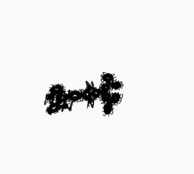 N#Cc1ccccc1-c1cc(-c2ccc(-c3cc(C#N)c(-c4ccc(-n5c6ccc(N(c7ccccc7)c7ccccc7)cc6c6cc(N(c7ccccc7)c7ccccc7)ccc65)cc4)c(C#N)c3)cc2)nc(-c2ccccc2C#N)n1